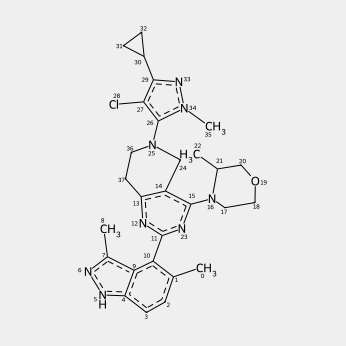 Cc1ccc2[nH]nc(C)c2c1-c1nc2c(c(N3CCOCC3C)n1)CN(c1c(Cl)c(C3CC3)nn1C)CC2